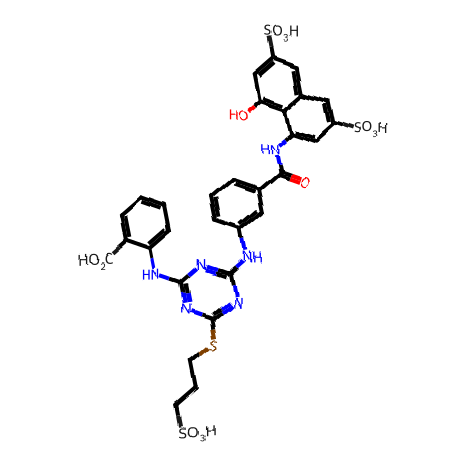 O=C(Nc1cc(S(=O)(=O)O)cc2cc(S(=O)(=O)O)cc(O)c12)c1cccc(Nc2nc(Nc3ccccc3C(=O)O)nc(SCCCS(=O)(=O)O)n2)c1